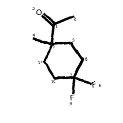 CC(=O)C1(C)CCC(F)(F)CC1